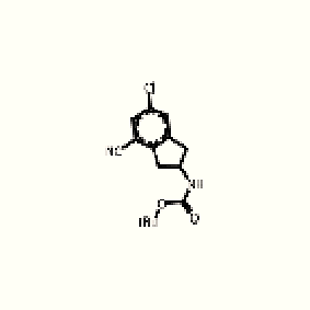 CC(C)(C)OC(=O)NC1Cc2cc(Cl)cc(C#N)c2C1